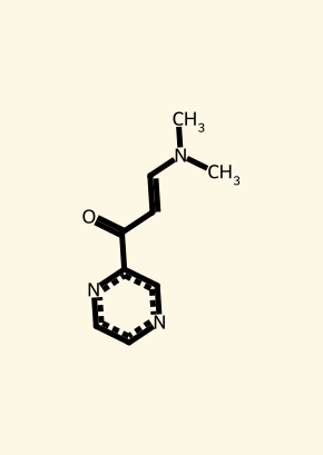 CN(C)C=CC(=O)c1cnccn1